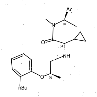 CCCCc1ccccc1O[C@H](C)CN[C@H](C(=O)N(C)[C@H](C)C(C)=O)C1CC1